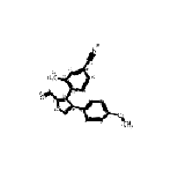 COc1ccc(-c2csc(C=O)c2-c2ccc(C#N)cc2C)cc1